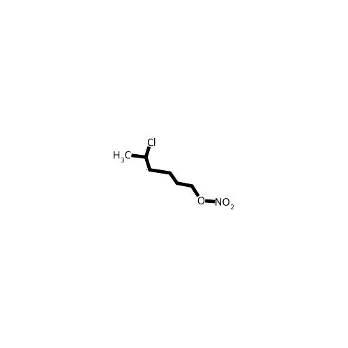 CC(Cl)[CH]CCCO[N+](=O)[O-]